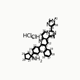 Cl.Cl.Cn1cnc(-c2nnc3c4cc(-c5ccccc5)c(-c5ccc(C6(N)CCCC6)cc5)nc4ccn23)c1